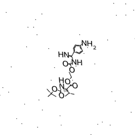 CC(C)[C@H](NC(=O)OC(C)(C)C)C(=O)OCCOC(=O)NC(=N)c1ccc(N)cc1